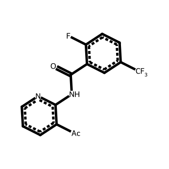 CC(=O)c1cccnc1NC(=O)c1cc(C(F)(F)F)ccc1F